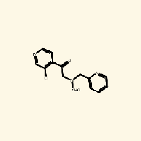 O=CN(CC(=O)c1ccncc1Cl)Cc1ccccn1